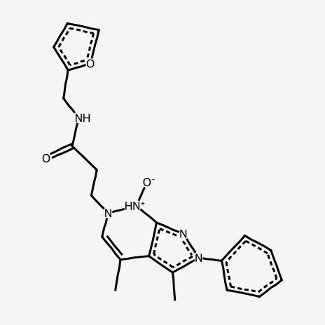 CC1=CN(CCC(=O)NCc2ccco2)[NH+]([O-])c2nn(-c3ccccc3)c(C)c21